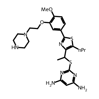 CCCc1sc(-c2ccc(OC)c(OCCN3CCNCC3)c2)nc1C(C)Sc1nc(N)cc(N)n1